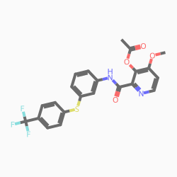 COc1ccnc(C(=O)Nc2cccc(Sc3ccc(C(F)(F)F)cc3)c2)c1OC(C)=O